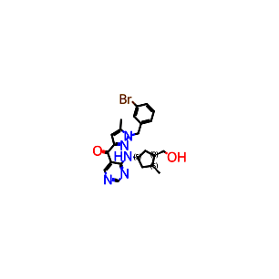 Cc1cc(C(=O)c2cncnc2N[C@@H]2C[C@@H](CO)[C@@H](C)C2)nn1Cc1cccc(Br)c1